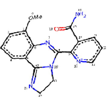 COc1cccc2c1N=C(c1ncccc1C(N)=O)N1CCN=C21